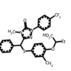 CCC(Oc1ccc(SC(c2ccccc2)c2nn(-c3ccc(C(F)(F)F)cc3)c(=O)n2C)cc1C)C(=O)O